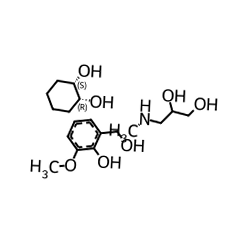 CNCC(O)CO.COc1cccc(CO)c1O.O[C@@H]1CCCC[C@@H]1O